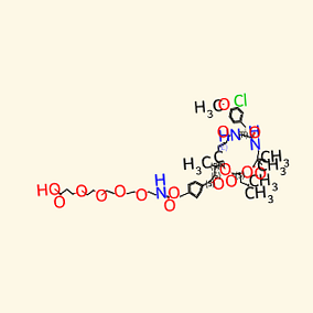 COc1ccc(C[C@H]2NC(=O)/C=C/C[C@@H]([C@H](C)[C@@H]3O[C@H]3c3ccc(COC(=O)NCCOCCOCCOCCOCCC(=O)O)cc3)OC(=O)[C@H](CC(C)C)OC(=O)C(C)(C)CNC2=O)cc1Cl